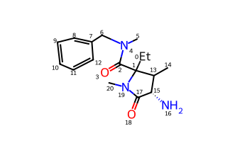 CCC1(C(=O)N(C)Cc2ccccc2)C(C)[C@H](N)C(=O)N1C